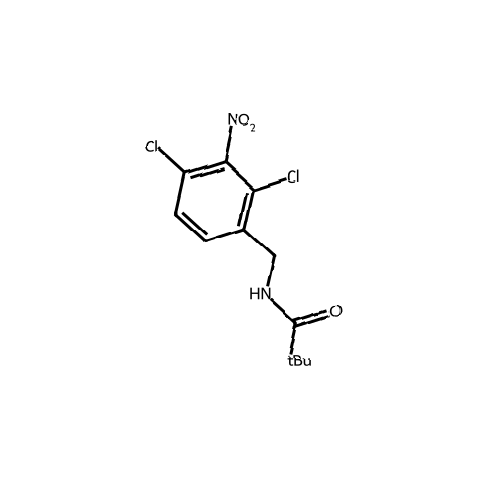 CC(C)(C)C(=O)NCc1ccc(Cl)c([N+](=O)[O-])c1Cl